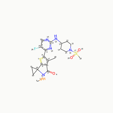 CPN1C(=O)c2c(sc(-c3nc(NC4CCN(S(C)(=O)=O)CC4)ncc3F)c2C)C12CC2